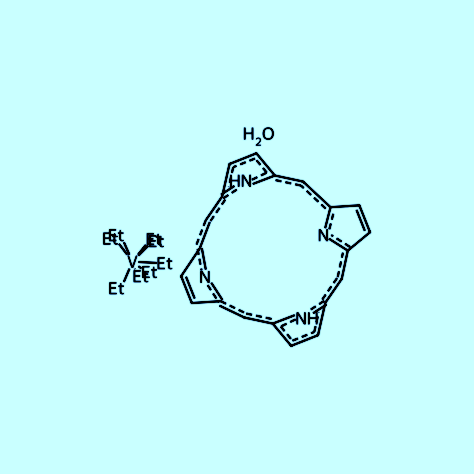 C1=Cc2cc3ccc(cc4nc(cc5ccc(cc1n2)[nH]5)C=C4)[nH]3.C[CH2][V]([CH2]C)([CH2]C)([CH2]C)([CH2]C)([CH2]C)([CH2]C)[CH2]C.O